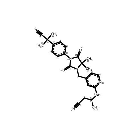 C[C@@H](CC#N)Nc1cc(CN2C(=O)N(c3ccc(C(C)(C)C#N)cc3)C(=O)C2(C)C)ccn1